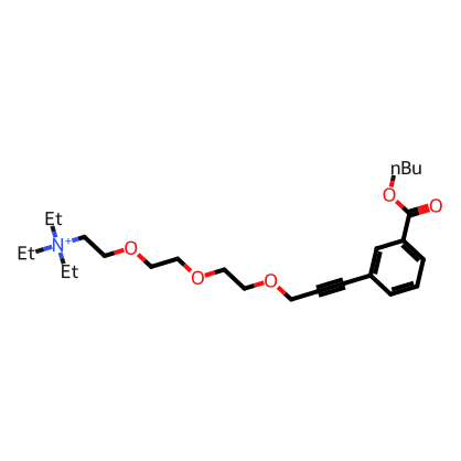 CCCCOC(=O)c1cccc(C#CCOCCOCCOCC[N+](CC)(CC)CC)c1